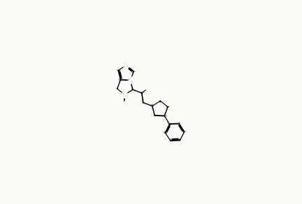 OC(CC1CCC(c2ccccc2)C1)C1N(C(F)(F)F)Cc2cncn21